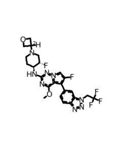 [2H]C1(N2CC[C@H](Nc3nc(OC)c4c(-c5ccc6nnn(CC(F)(F)F)c6c5)c(F)cn4n3)[C@@H](F)C2)COC1